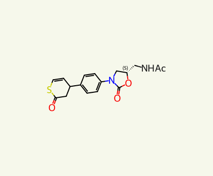 CC(=O)NC[C@H]1CN(c2ccc(C3C=CSC(=O)C3)cc2)C(=O)O1